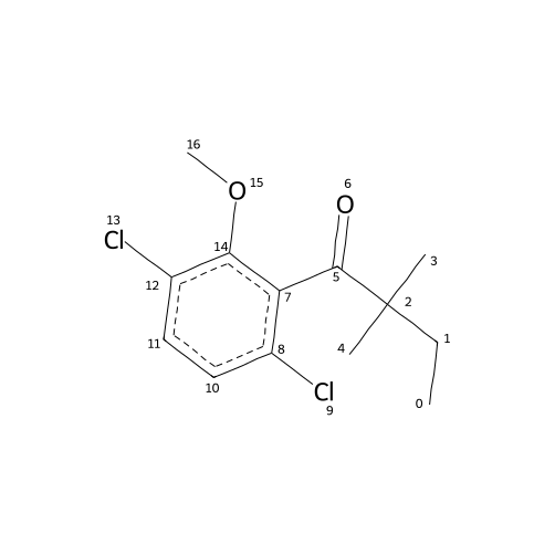 CCC(C)(C)C(=O)c1c(Cl)ccc(Cl)c1OC